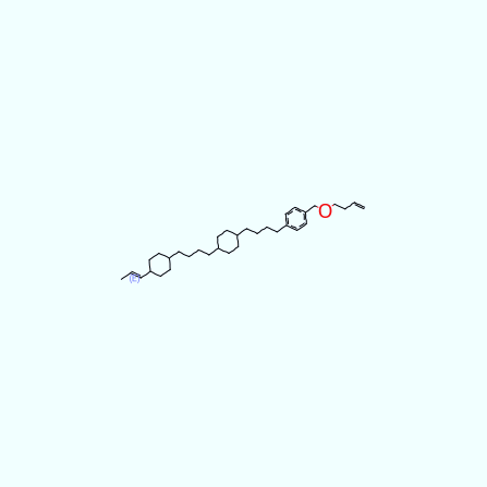 C=CCCOCc1ccc(CCCCC2CCC(CCCCC3CCC(/C=C/C)CC3)CC2)cc1